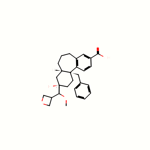 COC(C1COC1)[C@@]1(O)CC[C@@]2(Cc3ccccc3)c3ccc(C(=O)O)cc3CCC[C@H]2C1